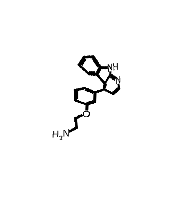 NCCOc1cccc(-c2ccnc3[nH]c4ccccc4c23)c1